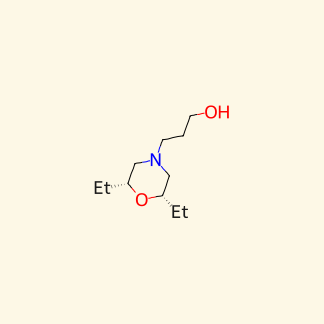 CC[C@@H]1CN(CCCO)C[C@H](CC)O1